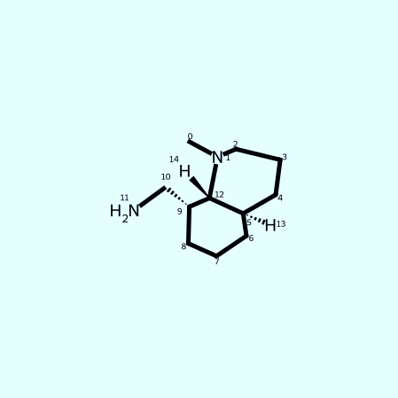 CN1CCC[C@H]2CCC[C@H](CN)[C@@H]21